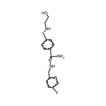 N/C(=N\NCc1ccc(F)cn1)c1ccc(SNCCO)cc1